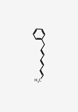 CC=CC=CC=CCc1ccccc1